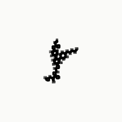 C=CC(=O)Oc1ccc(-c2ccc(OCCOC(=O)C(=C)COC)cc2C2CCC(CCCCC)CC2)cc1